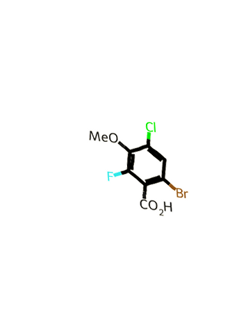 COc1c(Cl)cc(Br)c(C(=O)O)c1F